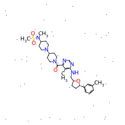 Cc1cccc([C@H]2CCC(CNc3ncnc(C(=O)N4CCC(N5CCC(N(C)S(C)(=O)=O)CC5)CC4)c3C)O2)c1